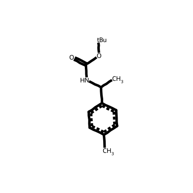 Cc1ccc(C(C)NC(=O)OC(C)(C)C)cc1